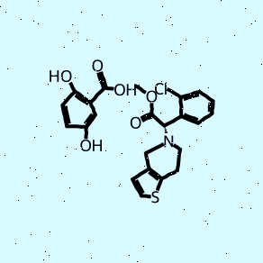 COC(=O)[C@H](c1ccccc1Cl)N1CCc2sccc2C1.O=C(O)c1cc(O)ccc1O